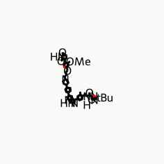 COc1cc(OCCCN2CCC(c3ccc(-c4cnc5[nH]nc(-c6ccc(CNC(=O)c7nc(C(C)(C)C)no7)c(C)c6)c5c4)cc3)CC2)ccc1C1CCC(=O)NC1=O